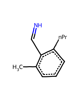 CCCc1cccc(C)c1C=N